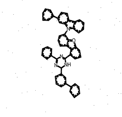 c1ccc(C2=NC(c3cccc(-c4ccccc4)c3)NC(c3cccc4oc5c(-n6c7ccccc7c7ccc(-c8ccccc8)cc76)cccc5c34)=N2)cc1